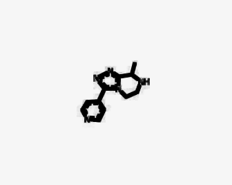 CC1NCCn2c(-c3ccncc3)nnc21